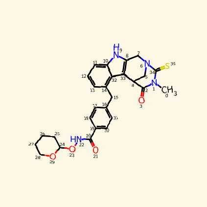 CN1C(=O)C2CN(Cc3[nH]c4cccc(Cc5ccc(C(=O)NOC6CCCCO6)cc5)c4c32)C1=S